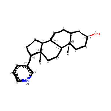 C[C@]12CC[C@H](O)CC1CCC1C2CC[C@]2(C)C(c3cccnc3)CCC12